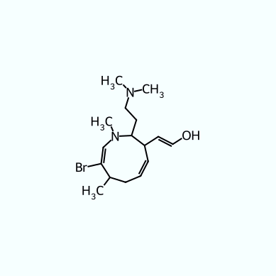 CC1CC=CC(/C=C/O)C(CCN(C)C)N(C)/C=C\1Br